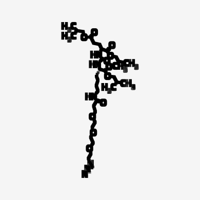 CC(C)COC(=O)CCC(NC(=O)N[C@@H](CCCCNC(=O)CCOCCOCCOCCN=[N+]=[N-])C(=O)OCC(C)C)C(=O)OCC(C)C